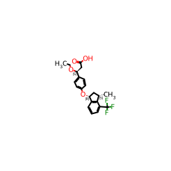 CCO[C@@H](CC(=O)O)c1ccc(O[C@@H]2C[C@H](C)c3c2cccc3C(F)(F)F)cc1